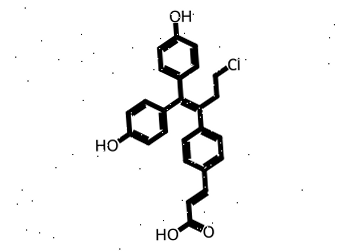 O=C(O)C=Cc1ccc(C(CCCl)=C(c2ccc(O)cc2)c2ccc(O)cc2)cc1